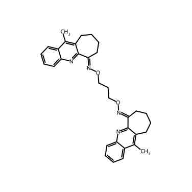 Cc1c2c(nc3ccccc13)/C(=N/OCCCO/N=C1\CCCCc3c1nc1ccccc1c3C)CCCC2